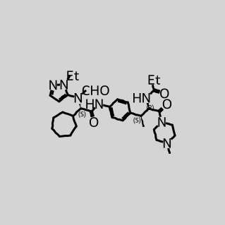 CCC(=O)N[C@@H](C(=O)N1CCN(C)CC1)[C@@H](C)c1ccc(NC(=O)[C@H](C2CCCCCC2)N(C=O)c2ccnn2CC)cc1